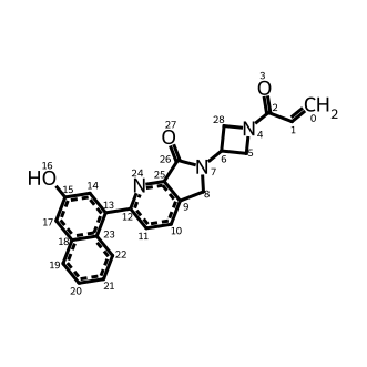 C=CC(=O)N1CC(N2Cc3ccc(-c4cc(O)cc5ccccc45)nc3C2=O)C1